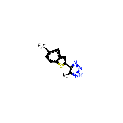 N#Cc1[nH]nnc1-c1cc2cc(C(F)(F)F)ccc2s1